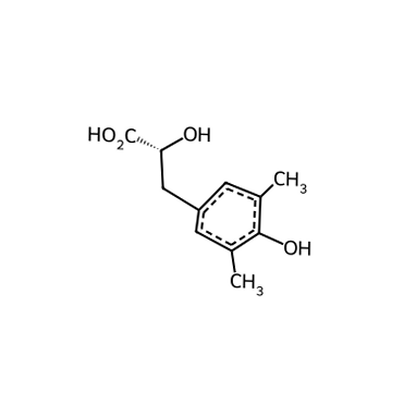 Cc1cc(C[C@@H](O)C(=O)O)cc(C)c1O